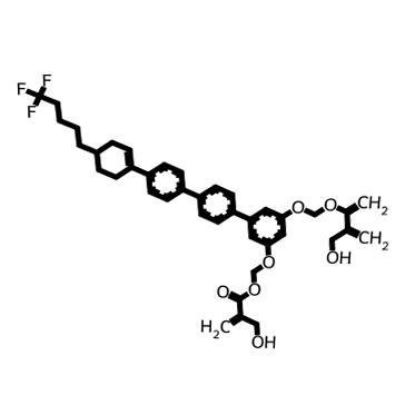 C=C(CO)C(=C)OCOc1cc(OCOC(=O)C(=C)CO)cc(-c2ccc(-c3ccc(C4=CCC(CCCCC(F)(F)F)CC4)cc3)cc2)c1